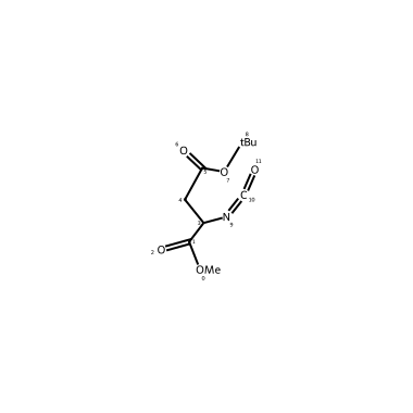 COC(=O)C(CC(=O)OC(C)(C)C)N=C=O